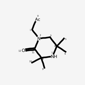 CC(=O)CN1CC(C)(C)NC(C)(C)C1=O